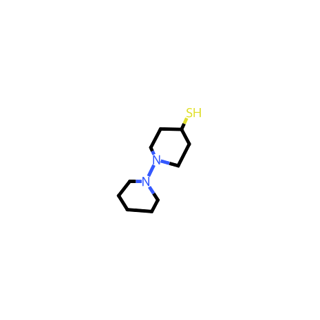 SC1CCN(N2CCCCC2)CC1